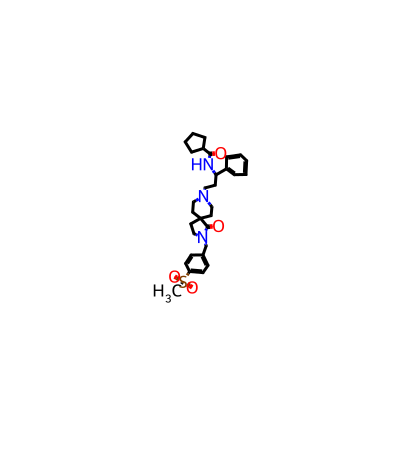 CS(=O)(=O)c1ccc(CN2CCC3(CCN(CCC(NC(=O)C4CCCC4)c4ccccc4)CC3)C2=O)cc1